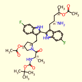 CC(=O)O[C@H]1C[C@@H](Cc2c(-c3[nH]c4cc(F)ccc4c3C[C@@H](N)C[C@@H](C)OC(C)=O)[nH]c3cc(F)ccc23)N(C(=O)[C@H](C)NC(=O)OC(C)(C)C)C1